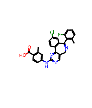 Cc1cc(Nc2ncc3c(n2)-c2ccc(Cl)cc2C(c2c(C)cccc2F)=NC3)ccc1C(=O)O